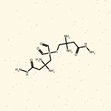 NNC(=O)CC(N)(N)CSS(C=O)(C=O)CC(N)(N)CC(=O)NN